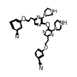 N#Cc1cccc(OCCc2cnc(Oc3ncc(CCOc4cccc(C#N)c4)nc3N3CCNCC3)c(N3CCNCC3)n2)c1